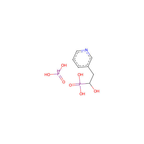 O=P(O)(O)C(O)Cc1cccnc1.O=[PH](O)O